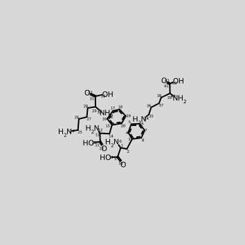 NC(Cc1ccccc1)C(=O)O.NC(Cc1ccccc1)C(=O)O.NCCCCC(N)C(=O)O.NCCCCC(N)C(=O)O